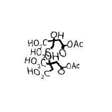 CC(=O)OC(=O)CC(O)(CC(=O)O)C(=O)O.CC(=O)OC(=O)CC(O)(CC(=O)O)C(=O)O